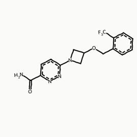 NC(=O)c1ccc(N2CC(OCc3ccccc3C(F)(F)F)C2)nn1